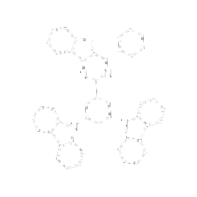 c1ccc(-c2nc(-c3cc(-n4c5ccccc5c5ccccc54)cc(-n4c5ccccc5c5ccccc54)c3)nc3c2sc2ccccc23)cc1